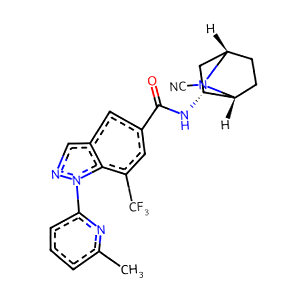 Cc1cccc(-n2ncc3cc(C(=O)N[C@@H]4C[C@@H]5CC[C@H]4N5C#N)cc(C(F)(F)F)c32)n1